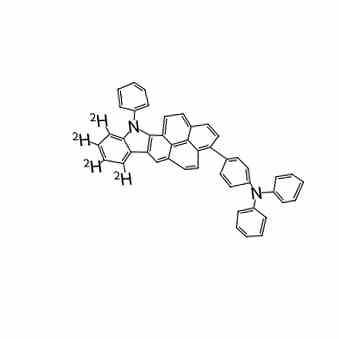 [2H]c1c([2H])c([2H])c2c(c1[2H])c1cc3ccc4c(-c5ccc(N(c6ccccc6)c6ccccc6)cc5)ccc5ccc(c3c54)c1n2-c1ccccc1